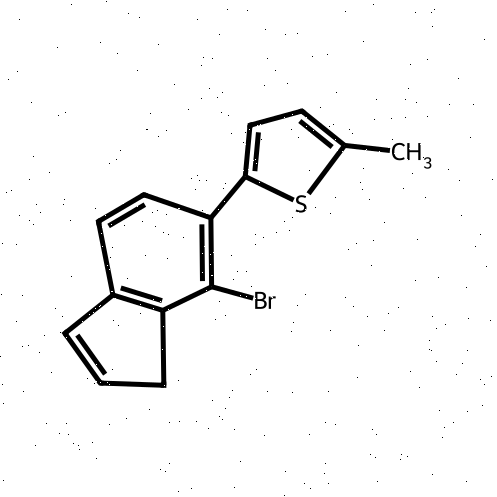 Cc1ccc(-c2ccc3c(c2Br)CC=C3)s1